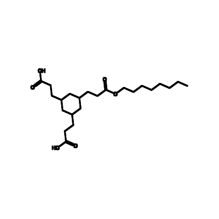 CCCCCCCCOC(=O)CCC1CC(CCC(=O)O)CC(CCC(=O)O)C1